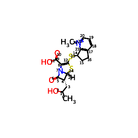 CC(O)C[C@@H]1C(=O)N2C(C(=O)O)=C(SC3CCc4ccc[n+](C)c43)S[C@H]12